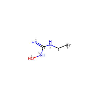 CC(C)CNC(=N)NO